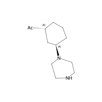 CC(=O)[C@@H]1CCC[C@@H](N2CCNCC2)C1